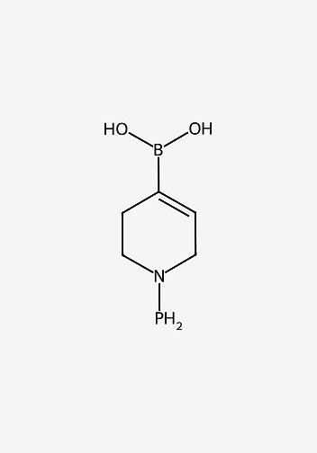 OB(O)C1=CCN(P)CC1